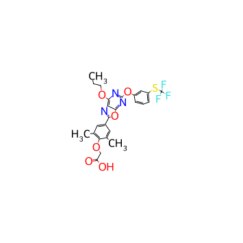 CCCOc1nc(Oc2cccc(SC(F)(F)F)c2)nc2oc(-c3cc(C)c(OCC(=O)O)c(C)c3)nc12